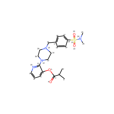 CC(C)C(=O)Oc1cccnc1N1CCN(Cc2ccc(S(=O)(=O)N(C)C)cc2)CC1